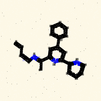 C=C/C=C\N=C(/C)c1cc(-c2ccccc2)cc(-c2ccccn2)n1